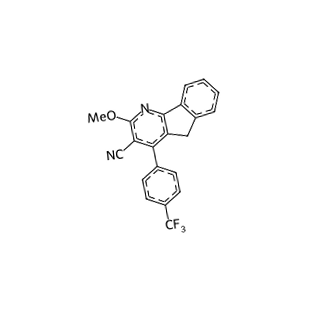 COc1nc2c(c(-c3ccc(C(F)(F)F)cc3)c1C#N)Cc1ccccc1-2